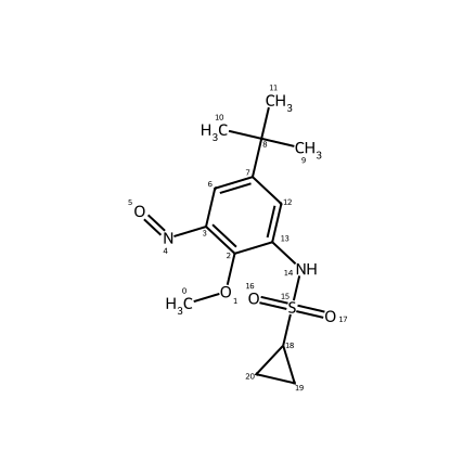 COc1c(N=O)cc(C(C)(C)C)cc1NS(=O)(=O)C1CC1